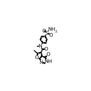 Cc1oc2nc[nH]c(=O)c2c1C(=O)N(C)c1ccc(S(N)(=O)=O)cc1